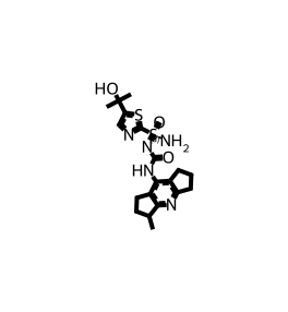 CC1CCc2c1nc1c(c2NC(=O)N=[S@](N)(=O)c2ncc(C(C)(C)O)s2)CCC1